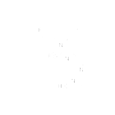 Cn1ccnc1CN1Sc2ccccc2N(Cc2c(F)cccc2F)C1=O